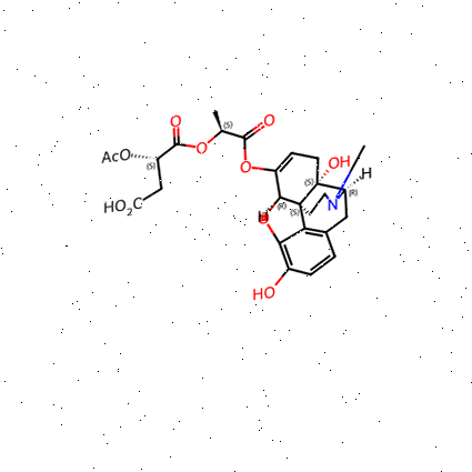 CC(=O)O[C@@H](CC(=O)O)C(=O)O[C@@H](C)C(=O)OC1=CC[C@@]2(O)[C@H]3Cc4ccc(O)c5c4[C@@]2(CCN3C)[C@H]1O5